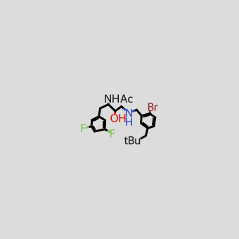 CC(=O)NC(Cc1cc(F)cc(F)c1)C(O)CNCc1cc(CC(C)(C)C)ccc1Br